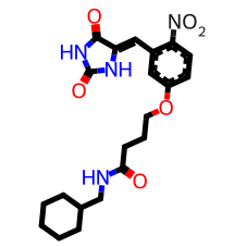 O=C(CCCOc1ccc([N+](=O)[O-])c(C=C2NC(=O)NC2=O)c1)NCC1CCCCC1